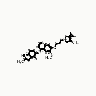 C=C1CN(CCCOc2cc3nccc(Oc4ccc5[nH]c(C)cc5c4F)c3cc2OC)CC12CC2